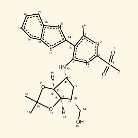 Cc1nc(S(C)(=O)=O)nc(N[C@@H]2C[C@H](CO)[C@H]3OC(C)(C)O[C@H]32)c1-c1nc2ccccc2s1